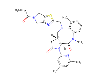 C=CC(=O)N1Cc2nc(CN3C[C@H]4CC(=O)N(c5cc(C(F)(F)F)cc(C)n5)[C@@H]4C(=O)N(C)c4cccc(C)c43)sc2C1